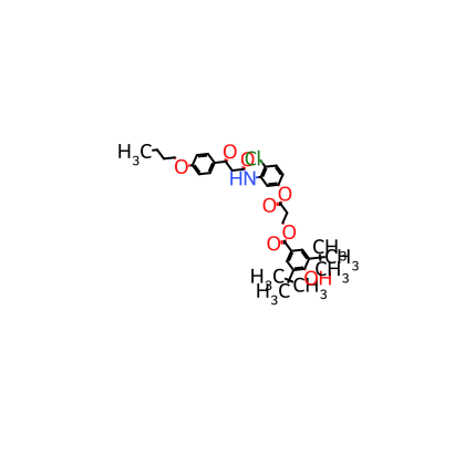 CCCCOc1ccc(C(=O)CC(=O)Nc2cc(OC(=O)CCOC(=O)c3cc(C(C)(C)C)c(O)c(C(C)(C)C)c3)ccc2Cl)cc1